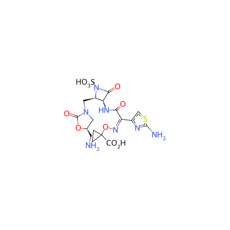 NC[C@@H]1CN(C[C@@H]2[C@H](NC(=O)C(=NOC3(C(=O)O)CC3)c3csc(N)n3)C(=O)N2S(=O)(=O)O)C(=O)O1